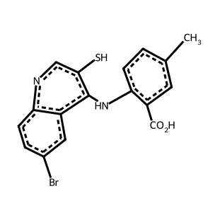 Cc1ccc(Nc2c(S)cnc3ccc(Br)cc23)c(C(=O)O)c1